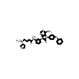 CN(C(=O)/C=C/CN(C)[C@@H]1CCOC1)c1cccc(-n2c(=O)n(-c3ccc(Oc4ccccc4)cc3)c3c(N)ncnc32)c1